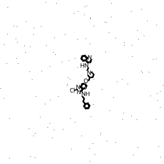 Clc1nc(NCCCc2ccccc2)c2ccc(OCC3CCCN(CCNc4ccnc5ccccc45)C3)cc2n1